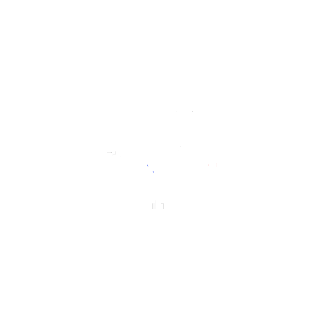 [CH2]CCC(=O)N(C(C)C)C(C)(C)C